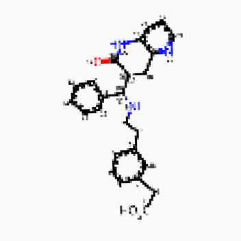 O=C(O)Cc1cccc(CCN[C@H](c2ccccc2)[C@@H]2Cc3ncccc3NC2=O)c1